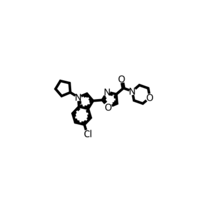 O=C(c1coc(-c2cn(C3CCCC3)c3ccc(Cl)cc23)n1)N1CCOCC1